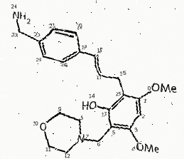 COc1cc(OC)c(CN2CCOCC2)c(O)c1C/C=C/c1ccc(CN)cc1